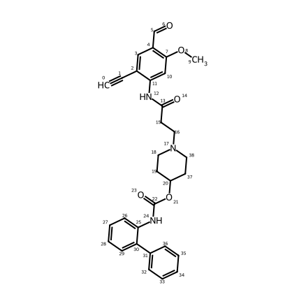 C#Cc1cc(C=O)c(OC)cc1NC(=O)CCN1CCC(OC(=O)Nc2ccccc2-c2ccccc2)CC1